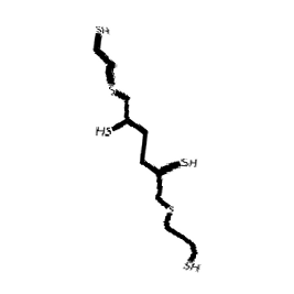 SCCSCC(S)CCC(S)CSCCS